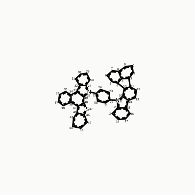 c1cc2c3c(cccc3c1)-c1c-2ccc2c3ccccc3n(-c3ccc(-n4c5ccccc5c5c6ccccc6c6c7ccccc7sc6c54)cc3)c12